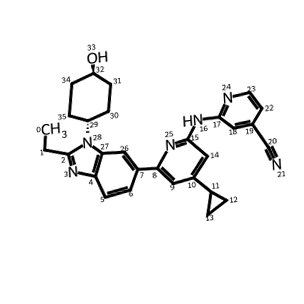 CCc1nc2ccc(-c3cc(C4CC4)cc(Nc4cc(C#N)ccn4)n3)cc2n1[C@H]1CC[C@H](O)CC1